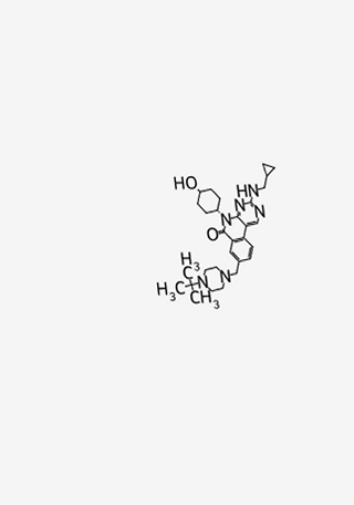 CC(C)(C)N1CCN(Cc2ccc3c(c2)c(=O)n([C@H]2CC[C@H](O)CC2)c2nc(NCC4CC4)ncc32)CC1